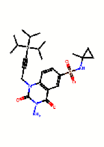 CC(C)[Si](C#CCn1c(=O)n(N)c(=O)c2cc(S(=O)(=O)NC3(C)CC3)ccc21)(C(C)C)C(C)C